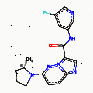 C[C@H]1CCCN1c1ccc2ncc(C(=O)Nc3cncc(F)c3)n2n1